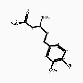 COC(=O)CC(CCc1ccc(O)c(OC)c1)NC(C)=O